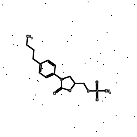 CCCCc1ccc(N2CC(COS(C)(=O)=O)OC2=O)cc1